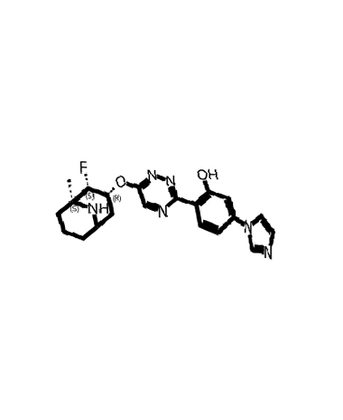 C[C@]12CCCC(C[C@@H](Oc3cnc(-c4ccc(-n5ccnc5)cc4O)nn3)[C@H]1F)N2